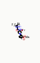 CCOC1CN(c2cccc(C(=O)OC(C)(C)C)c2)CCC1NC(=O)c1nc(C(F)(F)F)c(CC)[nH]1